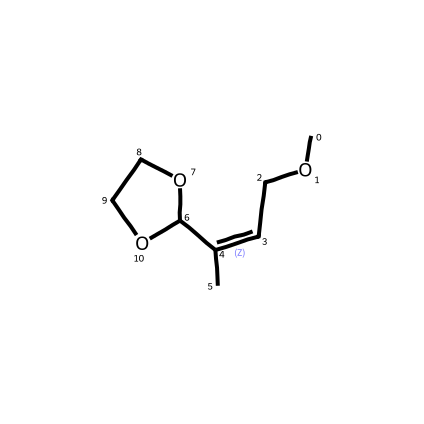 COC/C=C(/C)C1OCCO1